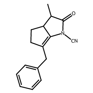 CC1C(=O)N(C#N)C2=C(Cc3ccccc3)CCC21